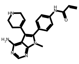 C=CC(=O)Nc1ccc(-c2c(C3=CCNCC3)c3c(N)ncnc3n2C)cc1